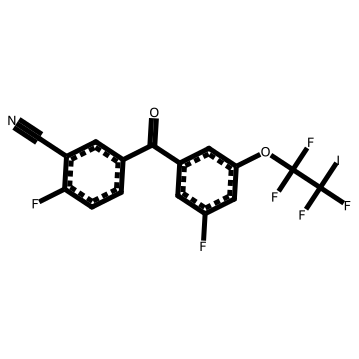 N#Cc1cc(C(=O)c2cc(F)cc(OC(F)(F)C(F)(F)I)c2)ccc1F